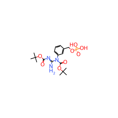 CC(C)(C)OC(=O)N=C(N)N(C(=O)OC(C)(C)C)c1cccc(COP(=O)(O)O)c1